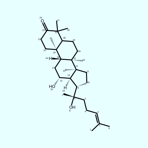 CC(C)=CCC[C@](C)(O)[C@H]1CC[C@@]2(C)[C@@H]1[C@H](O)C[C@@H]1[C@@]3(C)CCC(=O)C(C)(C)C3CC[C@]12C